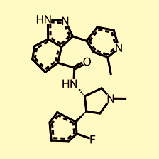 Cc1cc(-c2n[nH]c3cccc(C(=O)N[C@@H]4CN(C)C[C@H]4c4ccccc4F)c23)ccn1